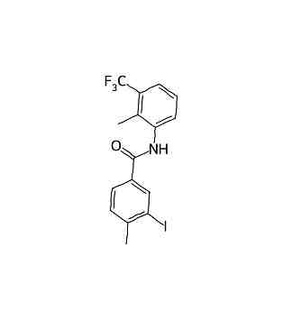 Cc1ccc(C(=O)Nc2cccc(C(F)(F)F)c2C)cc1I